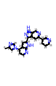 Cc1cn(-c2ccnc3[nH]c(-c4n[nH]c5cnc(-c6cccnc6)cc45)cc23)cn1